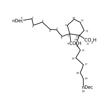 CCCCCCCCCCCCCCCCC1(C(=O)O)CCCCC1(CCCCCCCCCCCCCCCC)C(=O)O